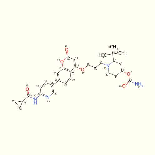 CC(C)(C)C1CC(OC(N)=O)CCN1CCCOc1cc(=O)oc2cc(-c3ccc(NC(=O)C4CC4)nc3)ccc12